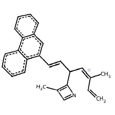 C=C/C(C)=C\C(C=Cc1cc2ccccc2c2ccccc12)C1=C(C)C=N1